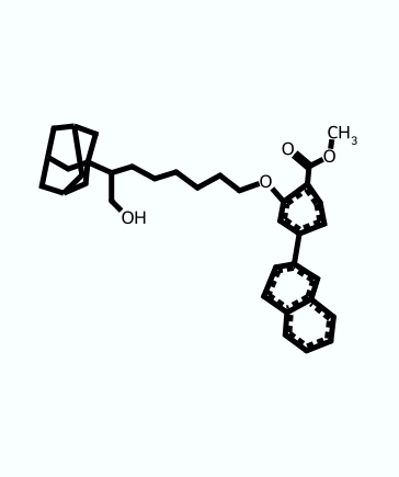 COC(=O)c1ccc(-c2ccc3ccccc3c2)cc1OCCCCCCC(CO)C12CC3CC(CC(C3)C1)C2